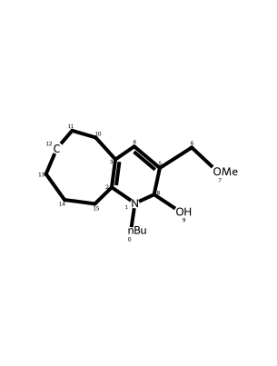 CCCCN1C2=C(C=C(COC)C1O)CCCCCC2